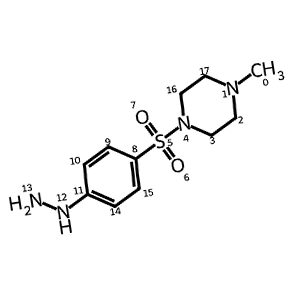 CN1CCN(S(=O)(=O)c2ccc(NN)cc2)CC1